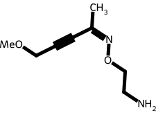 COCC#C/C(C)=N\OCCN